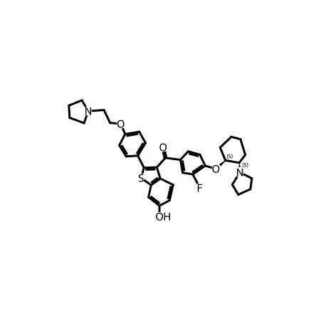 O=C(c1ccc(O[C@H]2CCCC[C@@H]2N2CCCC2)c(F)c1)c1c(-c2ccc(OCCN3CCCC3)cc2)sc2cc(O)ccc12